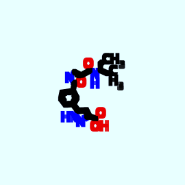 CCC(CC)NC(=O)c1cnc(-c2cccc(-c3cc(C(=O)O)n[nH]3)c2)o1